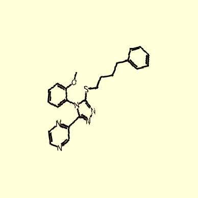 COc1ccccc1-n1c(SCCCCc2ccccc2)nnc1-c1cnccn1